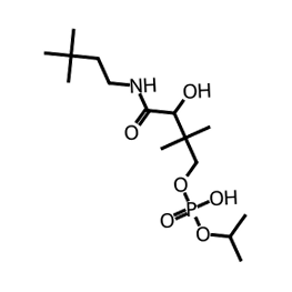 CC(C)OP(=O)(O)OCC(C)(C)C(O)C(=O)NCCC(C)(C)C